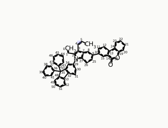 C=Cc1c(/C=C\C)c2cc(-c3ccc4c(c3)c(=O)oc3ccccc34)ccc2n1-c1ccc2c(c1)C(c1ccccc1)(c1ccccc1)c1ccccc1-2